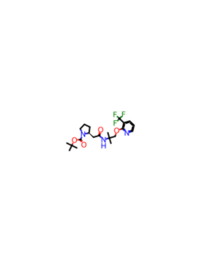 CC(C)(COc1ncccc1C(F)(F)F)NC(=O)C[C@@H]1CCCN1C(=O)OC(C)(C)C